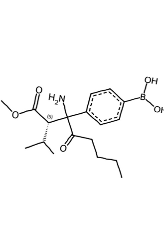 CCCCC(=O)C(N)(c1ccc(B(O)O)cc1)[C@@H](C(=O)OC)C(C)C